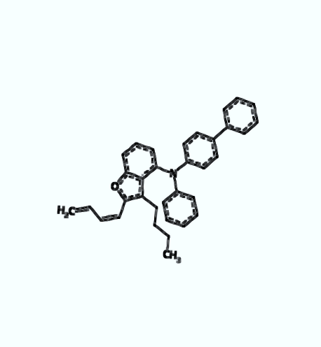 C=C/C=C\c1oc2cccc(N(c3ccccc3)c3ccc(-c4ccccc4)cc3)c2c1CCCC